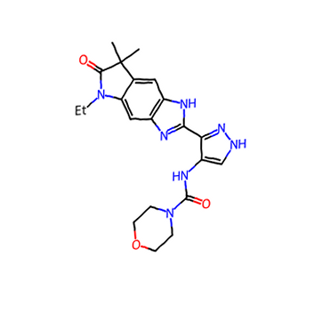 CCN1C(=O)C(C)(C)c2cc3[nH]c(-c4n[nH]cc4NC(=O)N4CCOCC4)nc3cc21